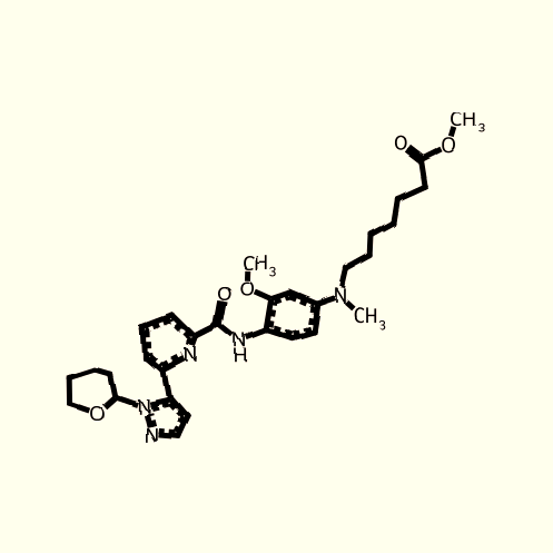 COC(=O)CCCCCCN(C)c1ccc(NC(=O)c2cccc(-c3ccnn3C3CCCCO3)n2)c(OC)c1